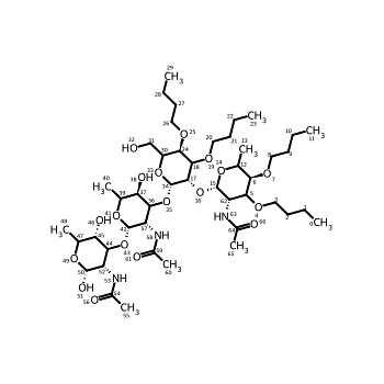 CCCCOC1[C@H](OCCCC)C(C)O[C@@H](O[C@H]2C(OCCCC)[C@H](OCCCC)C(CO)O[C@H]2OC2[C@H](O)C(C)O[C@@H](OC3[C@@H](O)C(C)O[C@@H](O)[C@H]3NC(C)=O)[C@H]2NC(C)=O)[C@H]1NC(C)=O